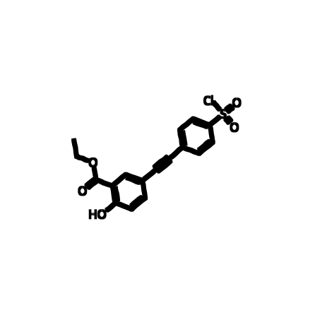 CCOC(=O)c1cc(C#Cc2ccc(S(=O)(=O)Cl)cc2)ccc1O